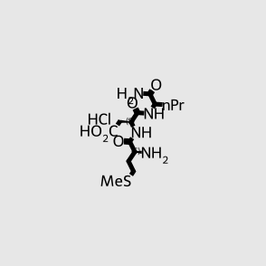 CCCC(NC(=O)[C@H](CC(=O)O)NC(=O)[C@@H](N)CCSC)C(N)=O.Cl